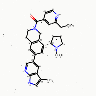 COCc1cc(C(=O)N2CCc3cc(-c4cnc5[nH]cc(C)c5c4)cc([C@@H]4CCCN4C(=O)O)c3C2)ccn1